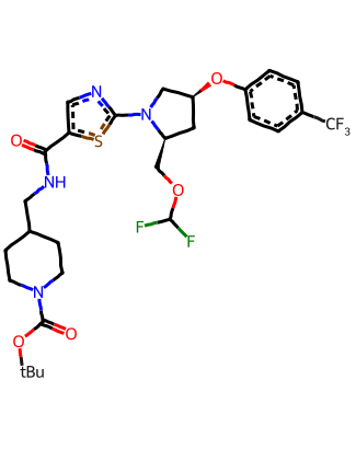 CC(C)(C)OC(=O)N1CCC(CNC(=O)c2cnc(N3C[C@@H](Oc4ccc(C(F)(F)F)cc4)C[C@H]3COC(F)F)s2)CC1